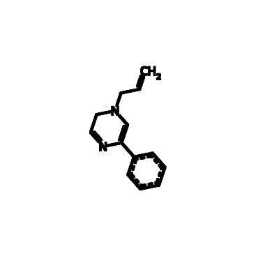 C=CCN1C=C(c2ccccc2)N=CC1